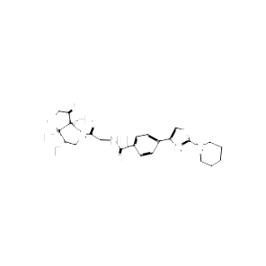 O=C(NCC(=O)N1C[C@H](F)[C@H]2OCC(=O)[C@H]21)c1ccc(-c2csc(N3CCCCC3)n2)cc1